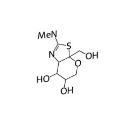 CNC1=NC2C(O)C(O)COC2(CO)S1